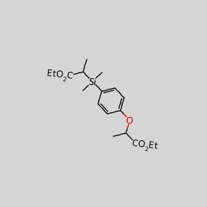 CCOC(=O)C(C)Oc1ccc([Si](C)(C)C(C)C(=O)OCC)cc1